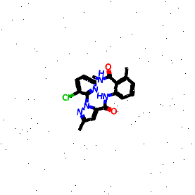 CNC(=O)c1c(C)cccc1NC(=O)c1cc(C)nn1-c1ncccc1Cl